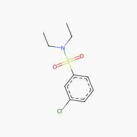 CCN(CC)S(=O)(=O)c1cccc(Cl)c1